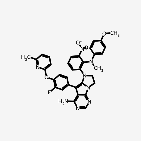 COc1ccc(N(C)c2c(N3CCn4c3c(-c3ccc(Oc5cccc(C)n5)c(F)c3)c3c(N)ncnc34)cccc2[N+](=O)[O-])cc1